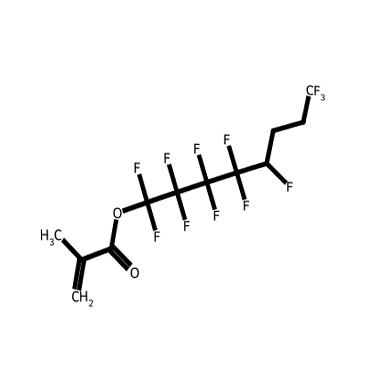 C=C(C)C(=O)OC(F)(F)C(F)(F)C(F)(F)C(F)(F)C(F)CCC(F)(F)F